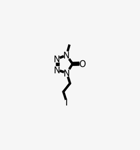 Cn1nnn(CCI)c1=O